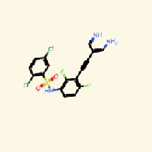 N=C/C(C#Cc1c(F)ccc(NS(=O)(=O)c2cc(Cl)ccc2Cl)c1F)=C\N